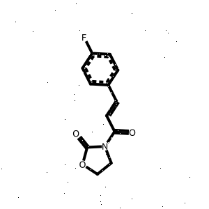 O=C(C=Cc1ccc(F)cc1)N1CCOC1=O